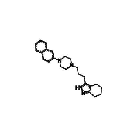 c1ccc2cc(N3CCN(CCCc4[nH]nc5c4CCCC5)CC3)ccc2c1